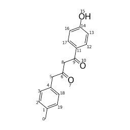 Cc1ccc(CC(=O)CC(=O)c2ccc(O)cc2)cc1